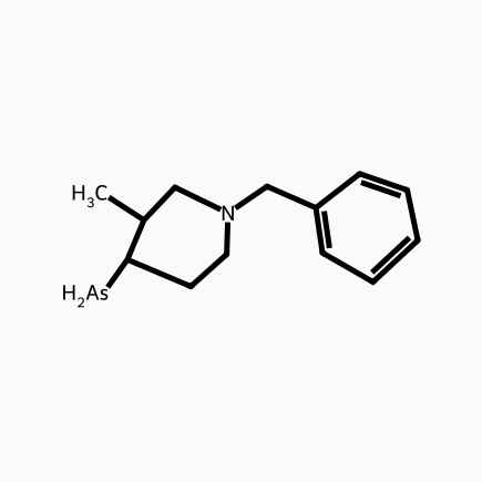 CC1CN(Cc2ccccc2)CCC1[AsH2]